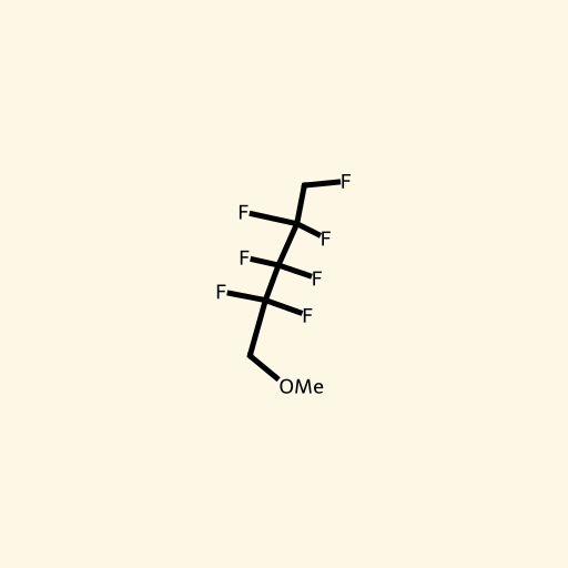 COCC(F)(F)C(F)(F)C(F)(F)CF